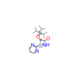 CC(C)[Si](O[C@H]1C(=O)N[C@H]1c1ncccn1)(C(C)C)C(C)C